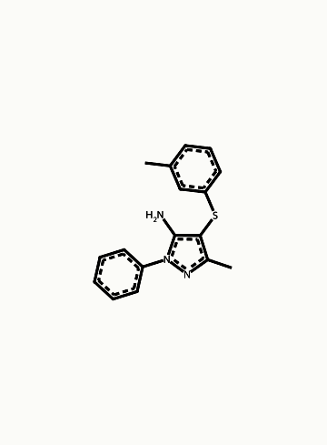 Cc1cccc(Sc2c(C)nn(-c3ccccc3)c2N)c1